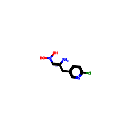 N/C(=C\N(O)O)Cc1ccc(Cl)nc1